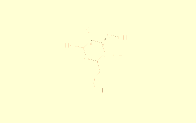 COCC1OC(O)[C@H](C)[C@@H](OC)[C@@H]1C